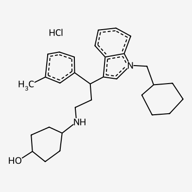 Cc1cccc(C(CCNC2CCC(O)CC2)c2cn(CC3CCCCC3)c3ccccc23)c1.Cl